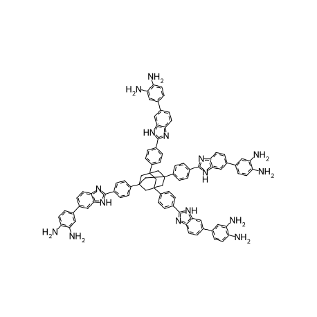 Nc1ccc(-c2ccc3nc(-c4ccc(C56CC7(c8ccc(-c9nc%10ccc(-c%11ccc(N)c(N)c%11)cc%10[nH]9)cc8)CC(c8ccc(-c9nc%10ccc(-c%11ccc(N)c(N)c%11)cc%10[nH]9)cc8)(C5)CC(c5ccc(-c8nc9ccc(-c%10ccc(N)c(N)c%10)cc9[nH]8)cc5)(C6)C7)cc4)[nH]c3c2)cc1N